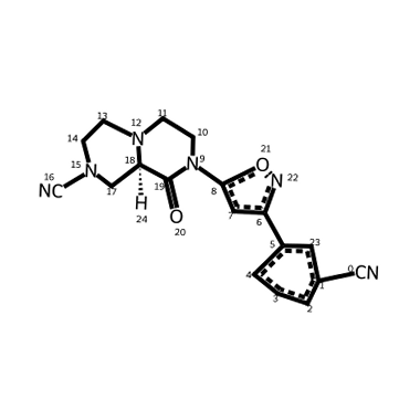 N#Cc1cccc(-c2cc(N3CCN4CCN(C#N)C[C@@H]4C3=O)on2)c1